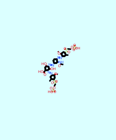 COc1cc(S(=O)(=O)CCOS(=O)(=O)O)c(C)cc1N=Nc1ccc(N=Nc2c(O)cc(C(=O)O)c(N=Nc3cc(C)c(S(=O)(=O)CCOS(=O)(=O)O)cc3OC)c2O)cc1NC(C)=O